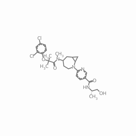 C[C@@H](CO)NC(=O)c1ccc(N2CCC(N(C)C(=O)C(C)(C)Oc3ccc(Cl)cc3Cl)CC3CC32)nc1